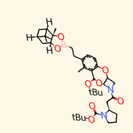 Cc1c(CCB2O[C@@H]3C[C@@H]4C[C@@H](C4(C)C)[C@]3(C)O2)ccc(OC2CN(C(=O)C[C@H]3CCCN3C(=O)OC(C)(C)C)C2)c1C(=O)OC(C)(C)C